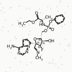 CCOC(=O)[C@H](C)NP(=O)(OC[C@H]1O[C@@](C=NC)(c2ccc3c(N)ncnn23)[C@H](F)[C@@H]1O)Oc1ccccc1